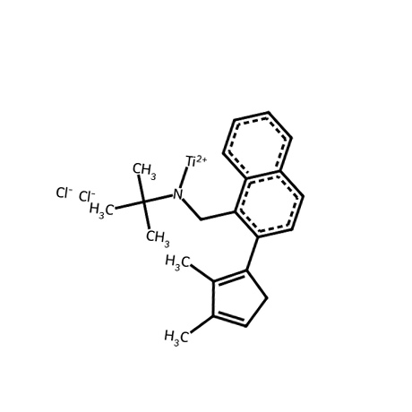 CC1=CCC(c2ccc3ccccc3c2C[N]([Ti+2])C(C)(C)C)=C1C.[Cl-].[Cl-]